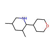 CC1CNC(C2CCOCC2)C(C)C1